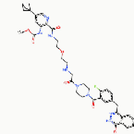 CC(C)(C)OC(=O)Nc1cc(C23CC(C2)C3)cnc1C(=O)NCCOCCNCC(=O)N1CCN(C(=O)c2cc(Cc3n[nH]c(=O)c4ccccc34)ccc2F)CC1